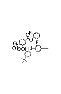 CC(C)(C)c1ccc([I+]c2ccc(C(C)(C)C)cc2)cc1.O=C(Oc1c(F)cccc1F)c1ccc(S(=O)(=O)[O-])c(O)c1